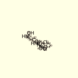 COn1c(=O)c(-c2c(Cl)cccc2Cl)cc2cnc(Nc3cccc(CC4CNC(O)C4)c3)nc21